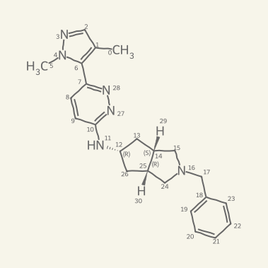 Cc1cnn(C)c1-c1ccc(N[C@@H]2C[C@@H]3CN(Cc4ccccc4)C[C@@H]3C2)nn1